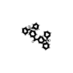 O=C(c1ccc(P(=O)(c2ccccc2)c2ccccc2)cc1)c1ccc(P(=O)(c2ccccc2)c2ccccc2)cc1